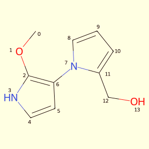 COc1[nH]ccc1-n1cccc1CO